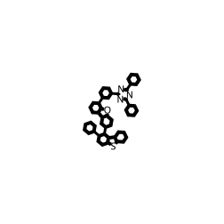 c1ccc(-c2nc(-c3ccccc3)nc(-c3cccc(-c4cccc5c4oc4ccc(-c6c(-c7ccccc7)ccc7sc8ccccc8c67)cc45)c3)n2)cc1